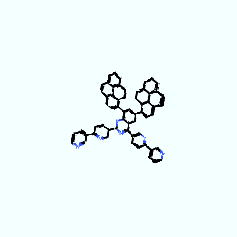 C1=CC(c2nc(-c3ccc(-c4cccnc4)nc3)c3cc(C4=CC=c5ccc6cccc7c6c5C4CC=7)cc(-c4ccc5ccc6cccc7c6c5c4CC7)c3n2)CN=C1c1cccnc1